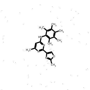 Cc1cc(Nc2c(C)c(C)c(C)c(C)c2C)nc(-c2coc(C)n2)n1